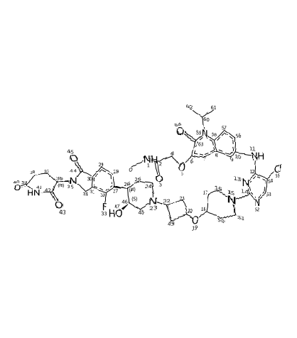 CNC(=O)COc1cc2cc(Nc3nc(N4CCC(OC5CC(N6CC[C@H](c7ccc8c(c7F)CN([C@@H]7CCC(=O)NC7=O)C8=O)[C@H](O)C6)C5)CC4)ncc3Cl)ccc2n(C(C)C)c1=O